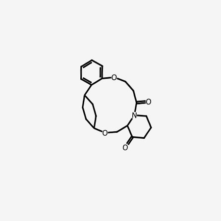 O=C1CCCN2C(=O)CCOc3ccccc3C3CCC(CC3)OCC12